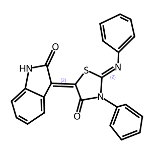 O=C1Nc2ccccc2/C1=C1/S/C(=N\c2ccccc2)N(c2ccccc2)C1=O